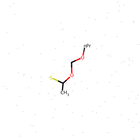 CCCOCOC(C)[S]